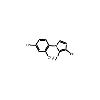 FC(F)(F)c1cc(Br)ccc1-n1cnc(Br)c1C(F)(F)F